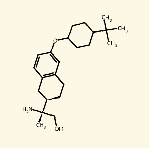 CC(C)(C)C1CCC(Oc2ccc3c(c2)CC[C@@H]([C@@](C)(N)CO)C3)CC1